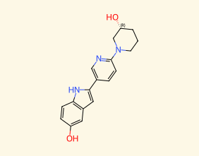 Oc1ccc2[nH]c(-c3ccc(N4CCC[C@@H](O)C4)nc3)cc2c1